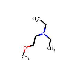 [CH2]CN(CC)CCOC